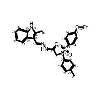 CCOc1ccc(S(=O)(=O)N(CC(=O)NN=Cc2c(C)[nH]c3ccccc23)c2ccc(C)cc2)cc1